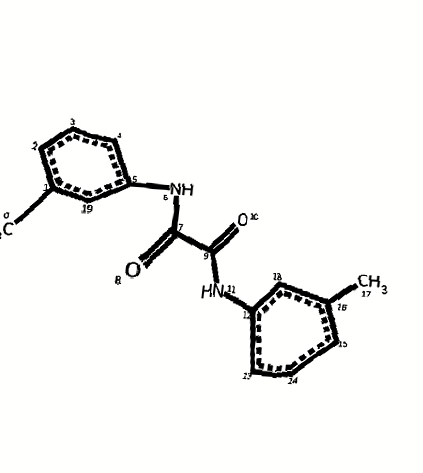 Cc1cccc(NC(=O)C(=O)Nc2cccc(C)c2)c1